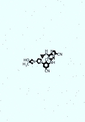 CC1(O)CN([C@@H]2CCN(c3cc(C#N)cc(Nc4nc(NC5CC5)c5ncc(C#N)n5n4)c3Cl)C2)C1